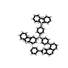 c1ccc(-c2nc3c(ccc4cccc(-c5ccc(N(c6ccc(-n7c8ccccc8c8ccccc87)cc6)c6ccc7oc8ccccc8c7c6)cc5)c43)o2)cc1